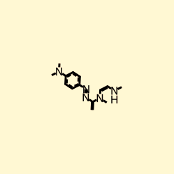 C=C(N=Nc1ccc(N(C)C)cc1)N(C)/C=C\NC